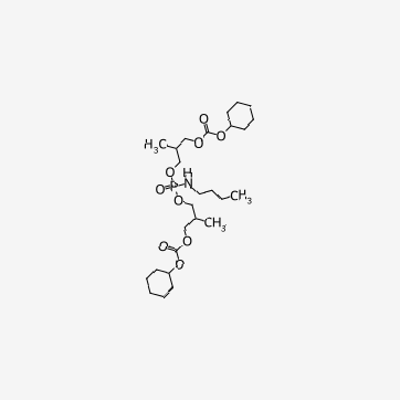 CCCCNP(=O)(OCC(C)COC(=O)OC1CCCCC1)OCC(C)COC(=O)OC1CCCCC1